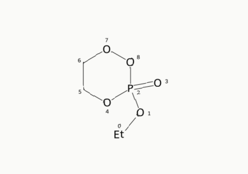 CCOP1(=O)OCCOO1